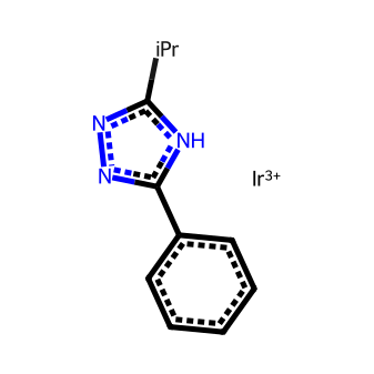 CC(C)c1nnc(-c2ccccc2)[nH]1.[Ir+3]